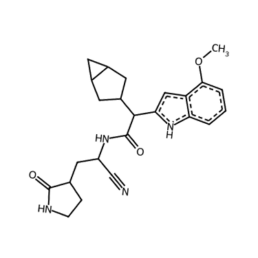 COc1cccc2[nH]c(C(C(=O)NC(C#N)CC3CCNC3=O)C3CC4CC4C3)cc12